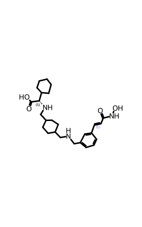 O=C(/C=C/c1cccc(CNCC2CCC(CN[C@H](C(=O)O)C3CCCCC3)CC2)c1)NO